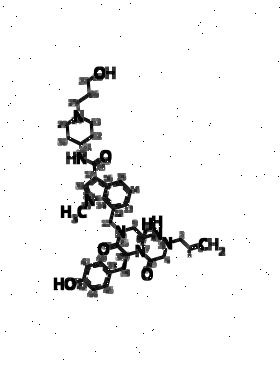 C=CCN1CC(=O)N2[C@H](CN(Cc3cccc4c(C(=O)NC5CCN(CCCO)CC5)cn(C)c34)C(=O)[C@@H]2Cc2ccc(O)cc2)N1